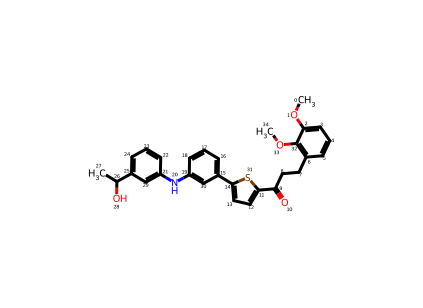 COc1cccc(CCC(=O)c2ccc(-c3cccc(Nc4cccc(C(C)O)c4)c3)s2)c1OC